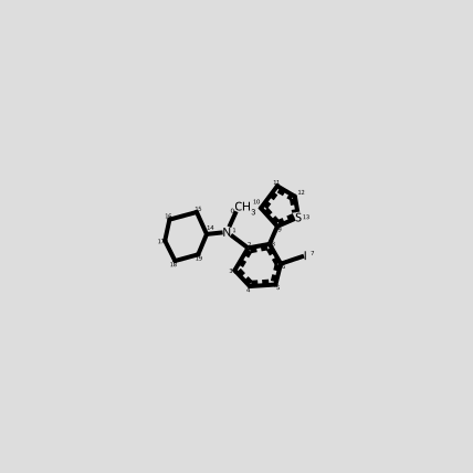 CN(c1[c]ccc(I)c1-c1cccs1)C1CCCCC1